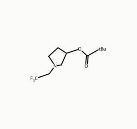 CC(C)(C)C(=O)OC1CCN(CC(F)(F)F)C1